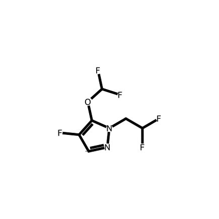 Fc1[c]nn(CC(F)F)c1OC(F)F